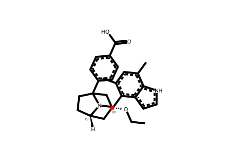 CCO[C@@H]1C[C@@H]2CCC(c3ccc(C(=O)O)cc3)(C1)N2Cc1c(C)cc(C)c2[nH]ccc12